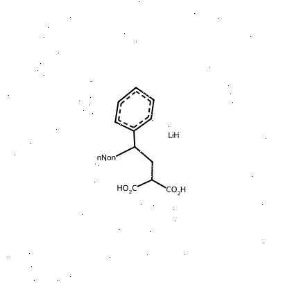 CCCCCCCCCC(CC(C(=O)O)C(=O)O)c1ccccc1.[LiH]